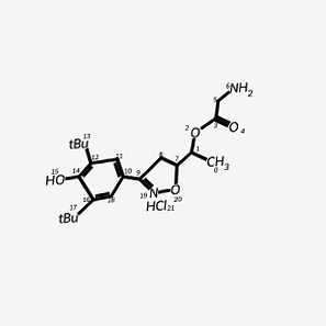 CC(OC(=O)CN)C1CC(c2cc(C(C)(C)C)c(O)c(C(C)(C)C)c2)=NO1.Cl